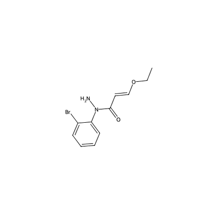 CCOC=CC(=O)N(N)c1ccccc1Br